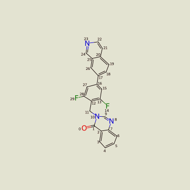 O=c1c2ccccc2ncn1Cc1c(F)cc(-c2ccc3ccncc3c2)cc1F